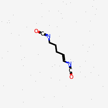 O=C=N/C=C/CCCN=C=O